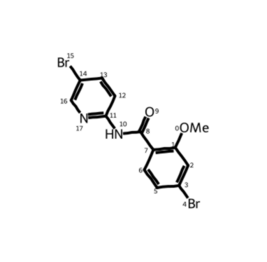 COc1cc(Br)ccc1C(=O)Nc1ccc(Br)cn1